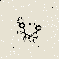 C=C/C(=C\C(=C/C)C(O)Cc1ccc(OC(F)(F)F)cc1)N1CCOC(c2cncc(C(=O)O)c2)C1